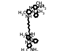 CC1=CC2=Nc3cc(C)c(N)cc3N(c3ccccc3C)C2C=C1NCCCCCCCCNc1cc2c(cc1C)nc1cc(C)c(N)cc1[n+]2-c1ccccc1C